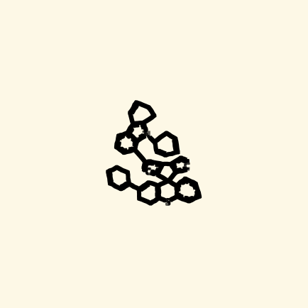 C1=CCCC(C2=CC3=C(CC2)Sc2ccccc2C32c3ccccc3-c3cc(-c4cccc5c6c(n(C7C=CC=CC7)c45)CCC=C6)ccc32)=C1